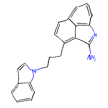 NC1=Nc2cccc3ccc(CCCn4ccc5ccccc54)c1c23